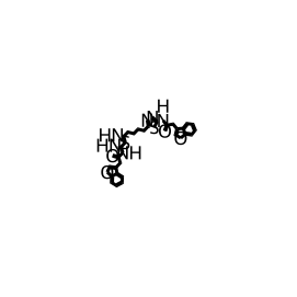 N=C(CCCCc1nnc(NC(=O)Cc2coc3ccccc23)s1)SC(=N)NC(=O)Cc1coc2ccccc12